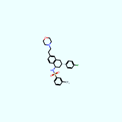 O=S(=O)(N[C@@H]1C[C@@H](c2ccc(F)cc2)Cc2cc(CCN3CCOCC3)ccc21)c1cccc(C(F)(F)F)c1